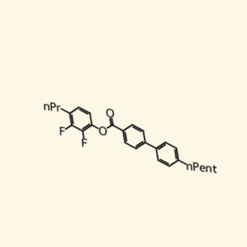 CCCCCc1ccc(-c2ccc(C(=O)Oc3ccc(CCC)c(F)c3F)cc2)cc1